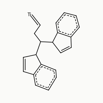 [Ti]=[CH]CC(C1C=Cc2ccccc21)C1C=Cc2ccccc21